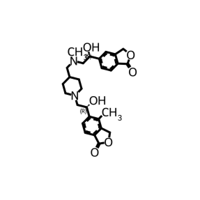 Cc1c([C@@H](O)CN2CCC(CN(C)C[C@@H](O)c3ccc4c(c3)COC4=O)CC2)ccc2c1COC2=O